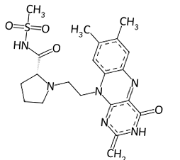 C=c1nc2c(c(=O)[nH]1)=Nc1cc(C)c(C)cc1N2CCN1CCC[C@@H]1C(=O)NS(C)(=O)=O